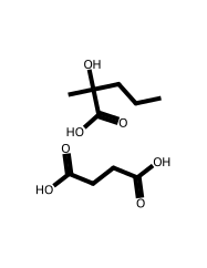 CCCC(C)(O)C(=O)O.O=C(O)CCC(=O)O